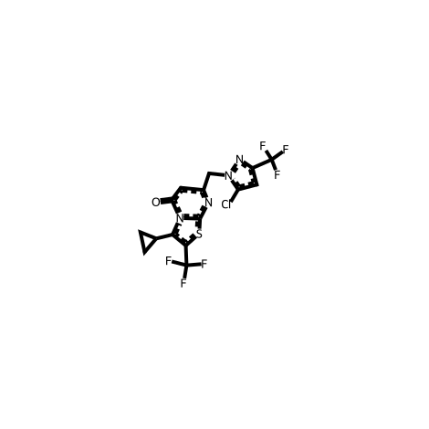 O=c1cc(Cn2nc(C(F)(F)F)cc2Cl)nc2sc(C(F)(F)F)c(C3CC3)n12